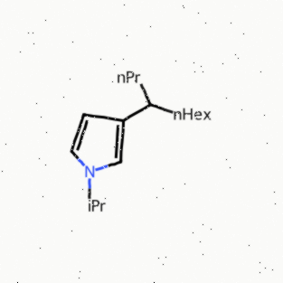 CCCCCCC(CCC)c1ccn(C(C)C)c1